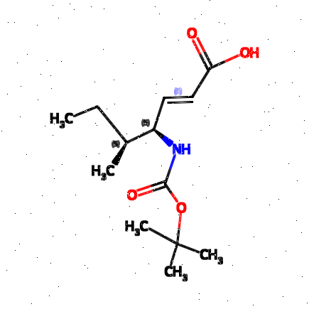 CC[C@H](C)[C@@H](/C=C/C(=O)O)NC(=O)OC(C)(C)C